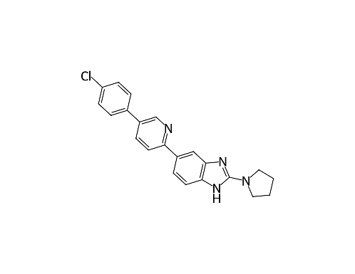 Clc1ccc(-c2ccc(-c3ccc4[nH]c(N5CCCC5)nc4c3)nc2)cc1